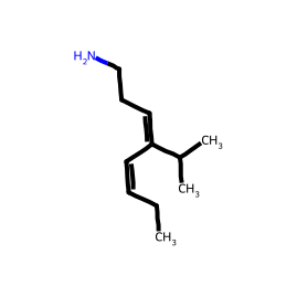 CC/C=C\C(=C/CCN)C(C)C